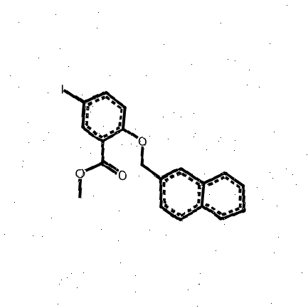 COC(=O)c1cc(I)ccc1OCc1ccc2ccccc2c1